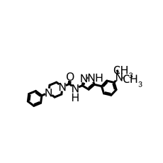 CN(C)c1cccc(-c2cc(NC(=O)N3CCN(c4ccccc4)CC3)n[nH]2)c1